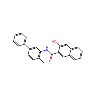 Cc1ccc(-c2ccccc2)cc1NC(=O)c1cc2ccccc2cc1O